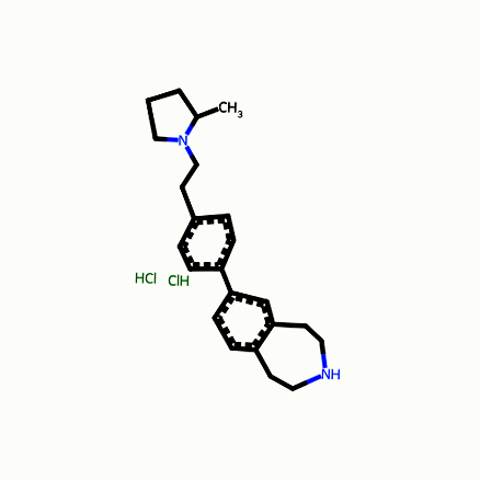 CC1CCCN1CCc1ccc(-c2ccc3c(c2)CCNCC3)cc1.Cl.Cl